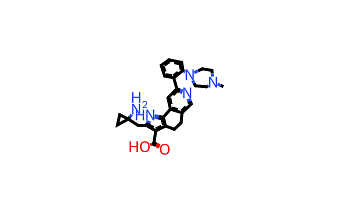 CN1CCN(c2ccccc2-c2cc3c(cn2)CCc2c-3[nH]c(CC3(N)CC3)c2C(=O)O)CC1